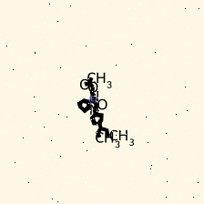 CCCC(CC)c1ccc(N2C(=O)/C(=N/COC(C)=O)c3ccccc32)cc1